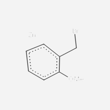 COc1ccccc1CBr.[Zn]